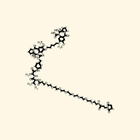 COc1cc2c(cc1OCCCCCOc1cc3c(cc1OC)C(=O)N1CCC[C@H]1[C@H](O)N3C(=O)OCc1ccc(NC(=O)[C@H](C)NC(=O)[C@@H](NC(=O)CCOCCOCCOCCOCCOCCOCCOCCOCCNC(=O)CCN3C(=O)C=CC3=O)C(C)C)cc1)N(C(=O)O)[C@@H](O)[C@@H]1CCCN1C2=O